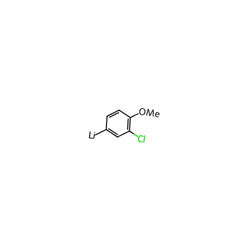 [Li][c]1ccc(OC)c(Cl)c1